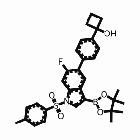 Cc1ccc(S(=O)(=O)n2cc(B3OC(C)(C)C(C)(C)O3)c3cc(-c4ccc(C5(O)CCC5)cc4)c(F)cc32)cc1